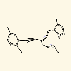 CC/C=C/C(C#Cc1cc(C)ccc1C)=C\c1nscc1C